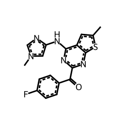 Cc1cc2c(Nc3cn(C)cn3)nc(C(=O)c3ccc(F)cc3)nc2s1